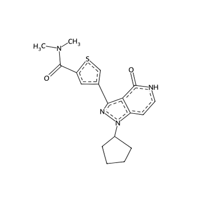 CN(C)C(=O)c1cc(-c2nn(C3CCCC3)c3cc[nH]c(=O)c23)cs1